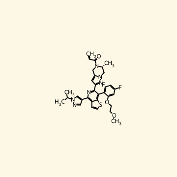 C=CC(=O)N1Cc2cc(-c3nc(-c4cnn(C(C)C)c4)c4ccsc4c3-c3c(F)cc(F)cc3OCCOC)nn2C[C@H]1C